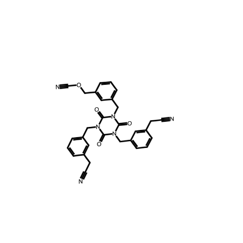 N#CCc1cccc(Cn2c(=O)n(Cc3cccc(CC#N)c3)c(=O)n(Cc3cccc(COC#N)c3)c2=O)c1